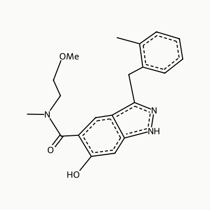 COCCN(C)C(=O)c1cc2c(Cc3ccccc3C)n[nH]c2cc1O